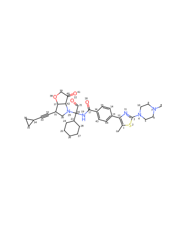 Cc1sc(N2CCN(C)CC2)nc1-c1ccc(C(=O)NC(C=O)(C2CCCCC2)N2CC(C#CC3CC3)C3OCC(=O)C32)cc1